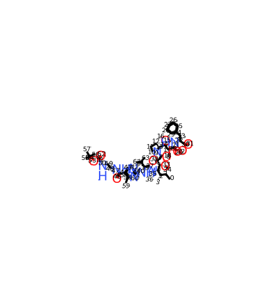 CC[C@H](C)[C@@H]([C@@H](CC(=O)N1CCC[C@H]1[C@H](OC)[C@@H](C)C(=O)NC(Cc1ccccc1)C(=O)O)OC)N(C)C(=O)[C@@H](Nc1ncc(C(=O)NCCNC(=O)OC(C)(C)C)c(C)n1)C(C)C